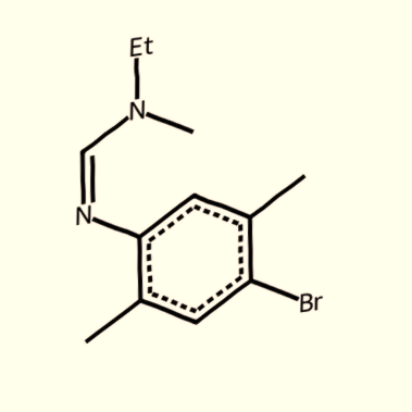 CCN(C)/C=N\c1cc(C)c(Br)cc1C